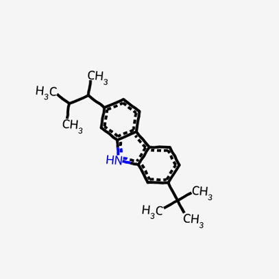 CC(C)C(C)c1ccc2c(c1)[nH]c1cc(C(C)(C)C)ccc12